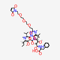 CC[C@H](C)[C@@H]([C@@H](CC(=O)N1CCC[C@H]1[C@H](OC)[C@@H](C)C(=O)N[C@@H](Cc1ccccc1)C(=O)O)OC)N(C)[C@H](C(=O)NC(=O)[C@H](C(C)C)N(C)C(=O)CCOCCOCCOCCN1C(=O)C=CC1=O)C(C)C